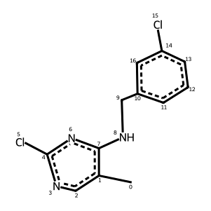 Cc1cnc(Cl)nc1NCc1cccc(Cl)c1